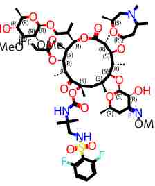 CO/N=C1\C[C@@H](C)O[C@@H](O[C@@H]2[C@@H](C)[C@H](O[C@H]3CC(C)N(C)C[C@H](C)O3)[C@@H](C)C(=O)O[C@H](C(C)CO[C@@H]3O[C@H](C)[C@@H](O)[C@@H](OC)[C@H]3OC)[C@H](C)[C@@H](OC(=O)CC(C)C)[C@@H](C)C(=O)[C@@](C)(OC(=O)NC(C)(C)CNS(=O)(=O)c3c(F)cccc3F)C[C@@H]2C)[C@@H]1O